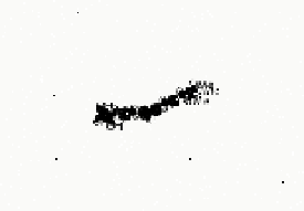 COc1cc(OC)c(C(=O)Oc2ccc(C(=O)Oc3ccc(-c4ccc(OC(=O)c5ccc(OC(=O)c6cc(CO)c(CO)cc6CO)cc5)cc4Cl)cc3)cc2)cc1OC